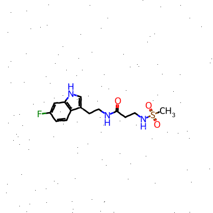 CS(=O)(=O)NCCC(=O)NCCc1c[nH]c2cc(F)ccc12